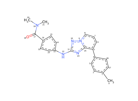 Cc1ccc(-c2cccn3nc(Nc4ccc(C(=O)N(C)C)cc4)nc23)cc1